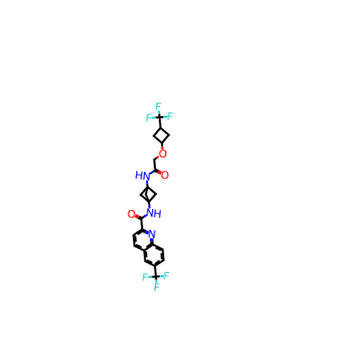 O=C(COC1CC(C(F)(F)F)C1)NC12CC(NC(=O)c3ccc4cc(C(F)(F)F)ccc4n3)(C1)C2